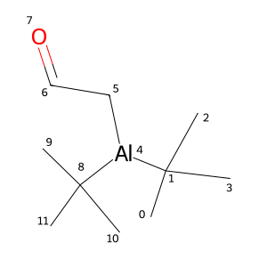 C[C](C)(C)[Al]([CH2]C=O)[C](C)(C)C